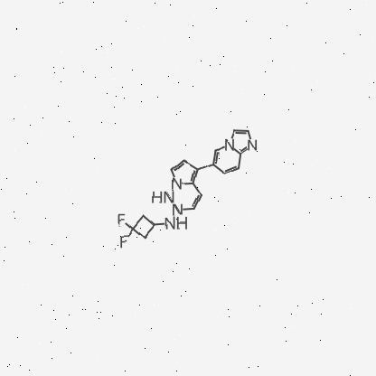 FC1(F)CC(NN2C=Cc3c(-c4ccc5nccn5c4)ccn3N2)C1